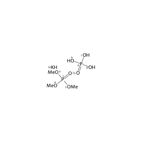 COP(=O)(OC)OC.O=P(O)(O)O.[KH]